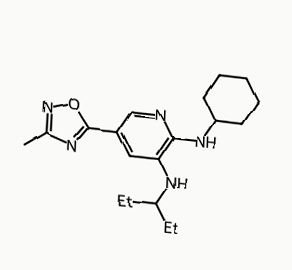 CCC(CC)Nc1cc(-c2nc(C)no2)cnc1NC1CCCCC1